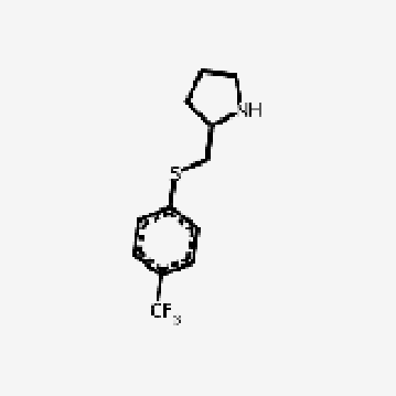 FC(F)(F)c1ccc(SCC2CCCN2)cc1